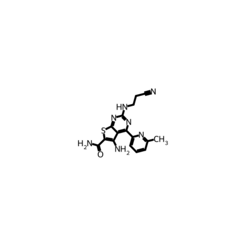 Cc1cccc(-c2nc(NCCC#N)nc3sc(C(N)=O)c(N)c23)n1